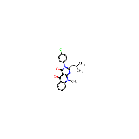 CC(C)Cc1nc2c(c(=O)c3ccccc3n2C)c(=O)n1-c1ccc(Cl)cc1